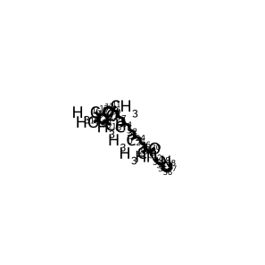 C/C(=C\CC/C(C)=C/CCC1(C)CCc2c(C)c(O)cc(C)c2O1)CC/C=C(\C)C(=O)NCCc1ccccn1